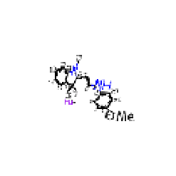 COc1ccc(N/C=C/C2N(C)c3ccccc3C2(C)C)cc1.I